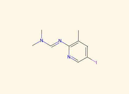 Cc1cc(I)cnc1/N=C/N(C)C